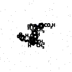 C=C(C)C1CCC2(NCCN3CCS(=O)(=O)CC3)CC[C@]3(N)[C@H](CC[C@@H]4C[C@H](C(C)(C)/C(=C\CCC)c5ccc(C(=O)O)cc5)CC[C@]43C)[C@@H]12